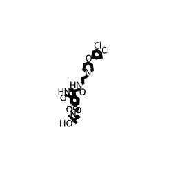 CC1(O)CN(S(=O)(=O)c2ccc3c(C(=O)NCCCN4CCC(Oc5ccc(Cl)c(Cl)c5)CC4)c[nH]c(=O)c3c2)C1